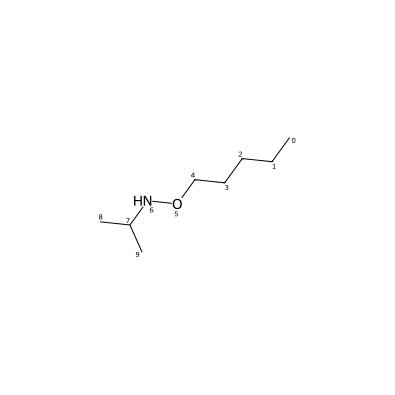 CCCCCONC(C)C